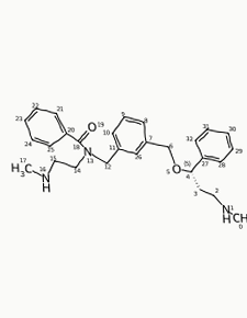 CNCC[C@H](OCc1cccc(CN(CCNC)C(=O)c2ccccc2)c1)c1ccccc1